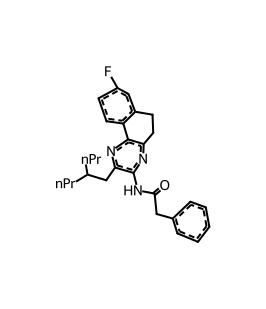 CCCC(CCC)Cc1nc2c(nc1NC(=O)Cc1ccccc1)CCc1cc(F)ccc1-2